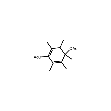 CC(=O)OC1=C(C)C(C)C(C)(OC(C)=O)C(C)=C1C